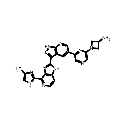 Cc1c[nH]c(-c2nccc3[nH]c(-c4n[nH]c5ncc(-c6cncc(N7CC(N)C7)n6)cc45)nc23)n1